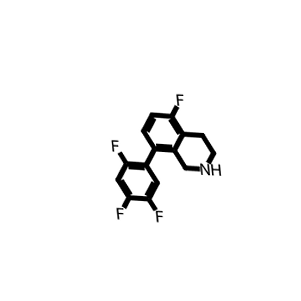 Fc1cc(F)c(-c2ccc(F)c3c2CNCC3)cc1F